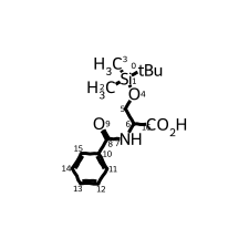 CC(C)(C)[Si](C)(C)OCC(NC(=O)c1ccccc1)C(=O)O